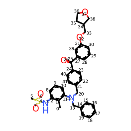 Cc1c(NS(C)(=O)=O)cccc1N(Cc1ccccc1)Cc1ccc(C(=O)c2cccc(OCC3CCOC3)c2)cc1